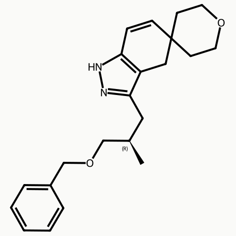 C[C@@H](COCc1ccccc1)Cc1n[nH]c2c1CC1(C=C2)CCOCC1